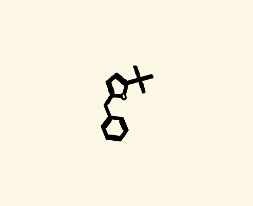 CC(C)(C)c1ccc(Cc2ccccc2)o1